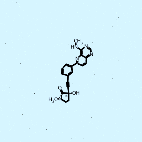 CNc1ncnc2ccc(-c3cccc(C#C[C@]4(O)CCN(C)C4=O)c3)nc12